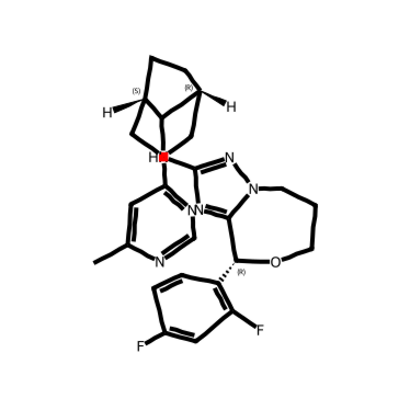 Cc1cc(N2C[C@H]3CC[C@@H](C2)C3Nc2nc3n(n2)CCCO[C@@H]3c2ccc(F)cc2F)ncn1